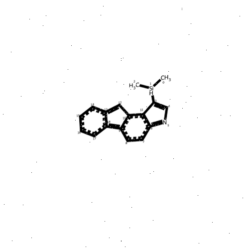 C[SiH](C)C1=CN=c2ccc3c(c21)C=c1ccccc1=3